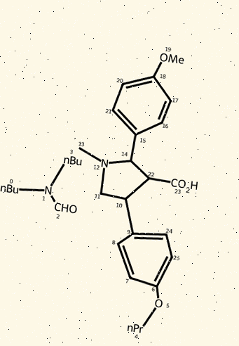 CCCCN(C=O)CCCC.CCCOc1ccc(C2CN(C)C(c3ccc(OC)cc3)C2C(=O)O)cc1